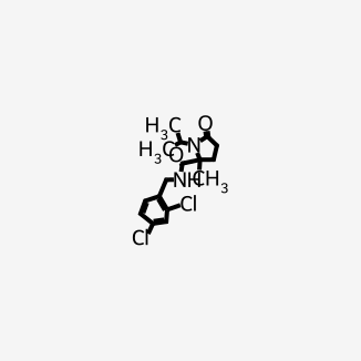 CC(C)N1C(=O)CCC1(C)C(=O)NCc1ccc(Cl)cc1Cl